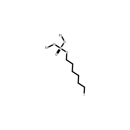 CCOP(=O)(OCC)OCCCCCCI